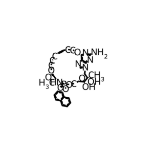 C[C@@H]1NP(=O)(Oc2cccc3ccccc23)OCC2OC(n3cnc4c(nc(N)nc43)OCCC=CCCCOC1=O)[C@](C)(O)[C@@H]2O